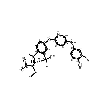 CCC(NC(C)c1ccc(Oc2ccc(Nc3ccc(Cl)c(Cl)c3)cn2)cc1C(F)(F)F)C(=O)O